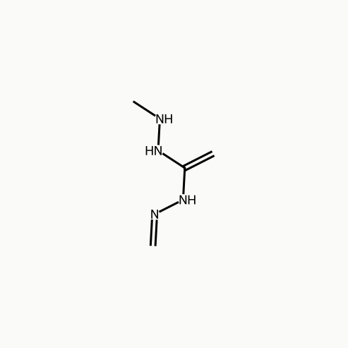 C=NNC(=C)NNC